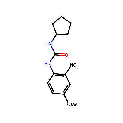 COc1ccc(NC(=O)NC2CCCC2)c([N+](=O)[O-])c1